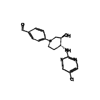 O=Cc1ccc(N2CC[C@@H](Nc3ncc(Cl)cn3)[C@H](O)C2)cc1